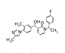 Cc1cn(-c2ccc(C(O)c3cccn(C(C)c4ccc(F)cc4)c3=O)cc2C)cn1